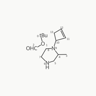 CC(C)(C)OC=O.CC1CNCCN1C1C=CC1